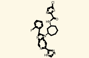 O=C(N[C@H]1CCCC[C@@H](n2c(-c3ccccc3F)nc3cnc(-c4nnc[nH]4)cc32)C1)c1ncc(Cl)s1